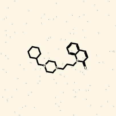 O=c1ccc2ccccc2n1CCCN1CCN(CC2CCCCC2)CC1